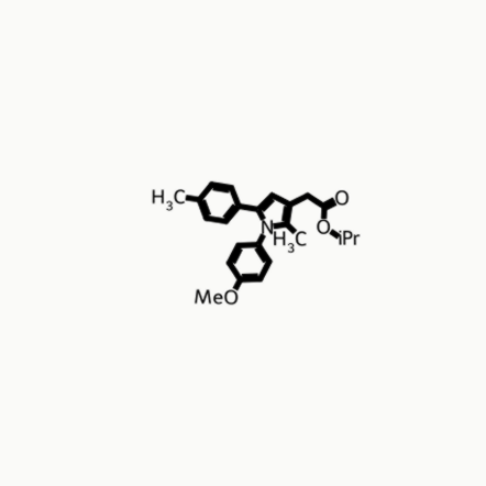 COc1ccc(-n2c(-c3ccc(C)cc3)cc(CC(=O)OC(C)C)c2C)cc1